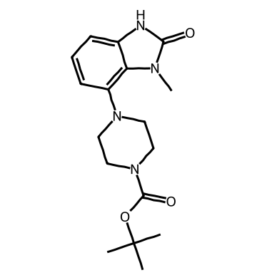 Cn1c(=O)[nH]c2cccc(N3CCN(C(=O)OC(C)(C)C)CC3)c21